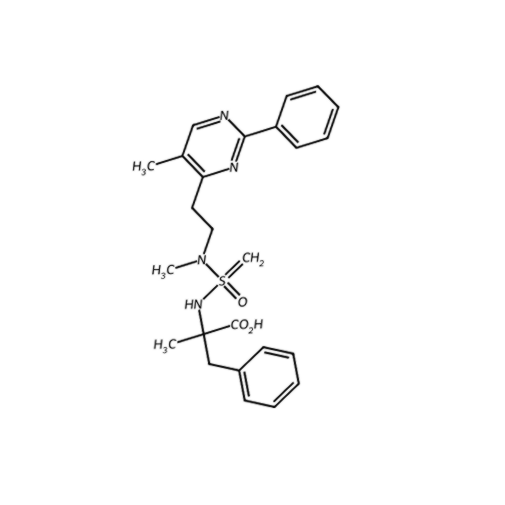 C=S(=O)(NC(C)(Cc1ccccc1)C(=O)O)N(C)CCc1nc(-c2ccccc2)ncc1C